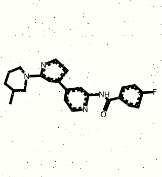 CC1CCCN(c2cc(-c3ccnc(NC(=O)c4ccc(F)cc4)c3)ccn2)C1